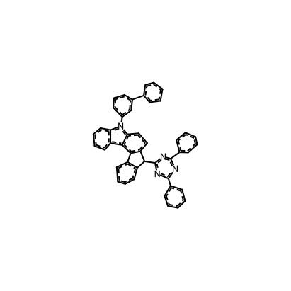 c1ccc(-c2cccc(-n3c4ccccc4c4c5c(ccc43)C(c3nc(-c4ccccc4)nc(-c4ccccc4)n3)c3ccccc3-5)c2)cc1